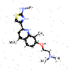 COc1cc(-c2csc(NC(C)C)n2)nc2c(C)c(OCCN(C)C)ccc12